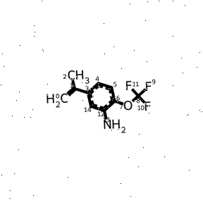 C=C(C)c1ccc(OC(F)(F)F)c(N)c1